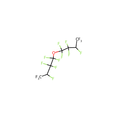 FC(C(F)(F)F)C(F)(F)C(F)(F)OC(F)(F)C(F)(F)C(F)C(F)(F)F